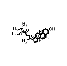 CON(C(=O)CC[C@@H](C)[C@H]1CC[C@H]2[C@@H]3CC=C4C[C@@H](O)CC[C@]4(C)[C@H]3CC[C@]12C)C(C)C